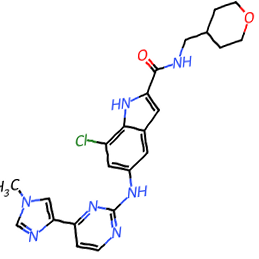 Cn1cnc(-c2ccnc(Nc3cc(Cl)c4[nH]c(C(=O)NCC5CCOCC5)cc4c3)n2)c1